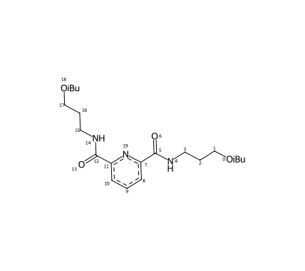 CC(C)COCCCNC(=O)c1cccc(C(=O)NCCCOCC(C)C)n1